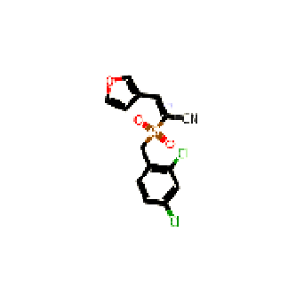 N#C/C(=C/c1ccoc1)S(=O)(=O)Cc1ccc(Cl)cc1Cl